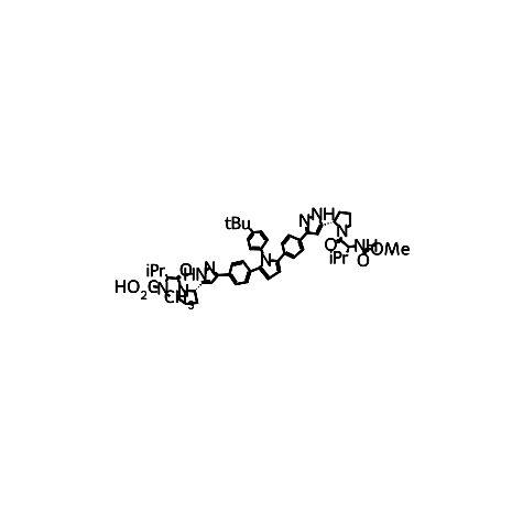 COC(=O)N[C@H](C(=O)N1CCC[C@H]1c1cc(-c2ccc(-c3ccc(-c4ccc(-c5cc([C@@H]6CCCN6C(=O)[C@H](C(C)C)N(C)C(=O)O)[nH]n5)cc4)n3-c3ccc(C(C)(C)C)cc3)cc2)n[nH]1)C(C)C